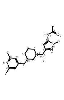 CC(=O)Nc1cc([C@H](C)N2CCC[C@H](Cc3cc(C)nc(C)c3)C2)nn1C